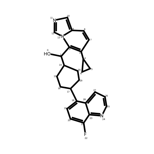 OC(c1c(C2CC2)ccc2cncn12)C1CCC(c2ccc(F)c3ncccc23)CC1